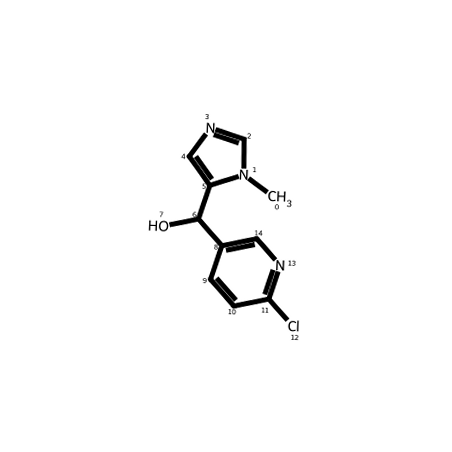 Cn1cncc1C(O)c1ccc(Cl)nc1